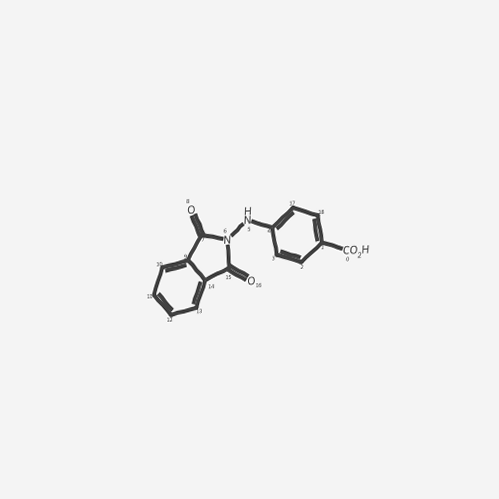 O=C(O)c1ccc(NN2C(=O)c3ccccc3C2=O)cc1